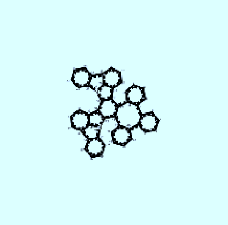 c1ccc2c(c1)c1ccccc1c1c3c4cccc5c6ccccc6n(c54)c3c3c4cccc5c6ccccc6n(c54)c3c1c1ccccc21